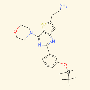 CC(C)(C)[Si](C)(C)Oc1cccc(-c2nc(N3CCOCC3)c3sc(CCN)cc3n2)c1